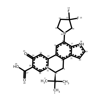 CC(C)(C)[C@@H]1Cc2c(cc(N3CCC(F)(F)C3)c3[nH]ccc23)-c2cc(=O)c(C(=O)O)cn21